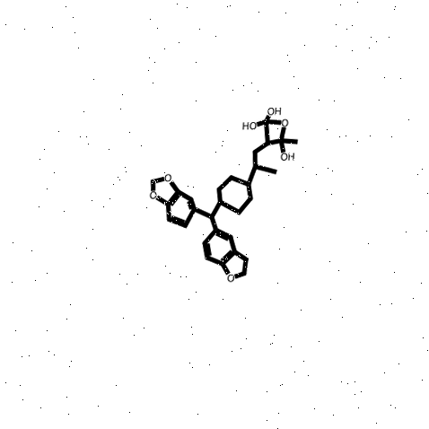 CC(CC1C(C)(O)OC1(O)O)C1CCC(C(c2ccc3c(c2)CCO3)c2ccc3c(c2)OCO3)CC1